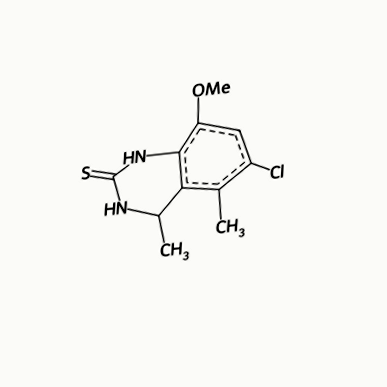 COc1cc(Cl)c(C)c2c1NC(=S)NC2C